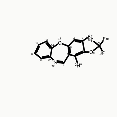 [2H]c1c2c(cc(Br)c1OC(F)(F)F)Oc1ccccc1N=C2